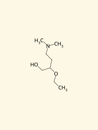 CCOC(CO)CCN(C)C